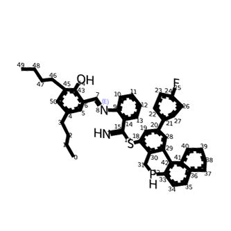 CCCCc1cc(/C=N/c2ccccc2C(=N)Sc2cc(-c3ccc(F)cc3)cc3c2CPc2ccc4ccccc4c2-3)c(O)c(CCCC)c1